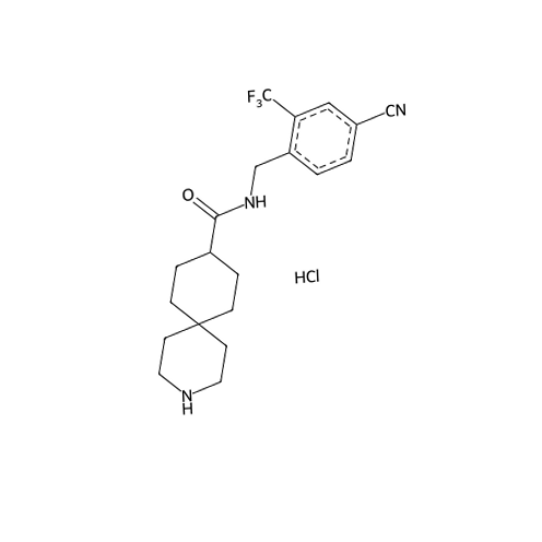 Cl.N#Cc1ccc(CNC(=O)C2CCC3(CCNCC3)CC2)c(C(F)(F)F)c1